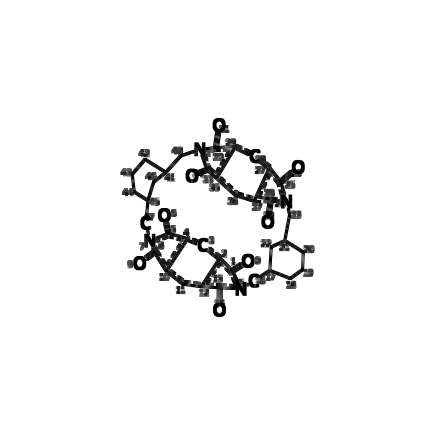 O=c1c2cc3c(=O)n4c(=O)c3cc2c(=O)n1CC1CCCC(C1)Cn1c(=O)c2cc3c(=O)n(c(=O)c3cc2c1=O)CC1CCCC(C1)C4